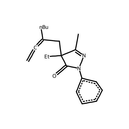 C=C=C(CCCC)CC1(CC)C(=O)N(c2ccccc2)N=C1C